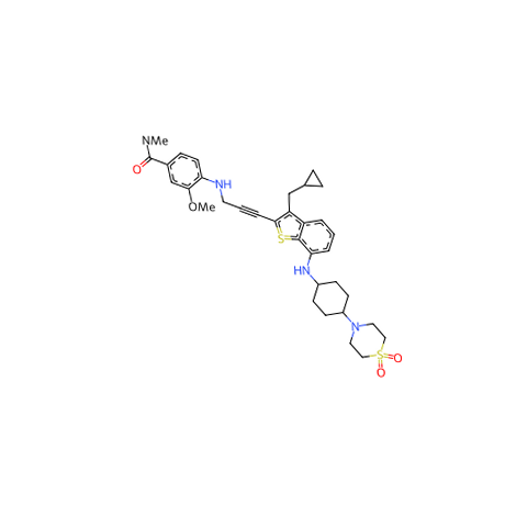 CNC(=O)c1ccc(NCC#Cc2sc3c(NC4CCC(N5CCS(=O)(=O)CC5)CC4)cccc3c2CC2CC2)c(OC)c1